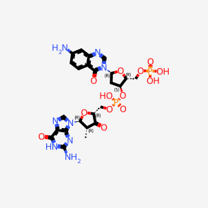 C[C@H]1C(=O)[C@@H](COP(=O)(O)O[C@H]2C[C@H](n3cnc4cc(N)ccc4c3=O)O[C@@H]2COP(=O)(O)O)O[C@H]1n1cnc2c(=O)[nH]c(N)nc21